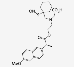 COc1ccc2cc([C@H](C)C(=O)OCCN(CC(=O)O)CC3(SN=O)CCCCC3)ccc2c1